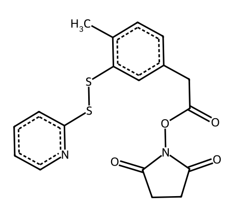 Cc1ccc(CC(=O)ON2C(=O)CCC2=O)cc1SSc1ccccn1